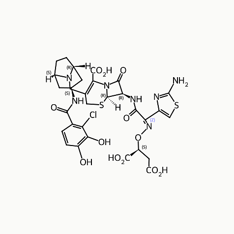 Nc1nc(/C(=N/O[C@@H](CC(=O)O)C(=O)O)C(=O)N[C@@H]2C(=O)N3C(C(=O)O)=C(CN4[C@@H]5CC[C@H]4C[C@H](NC(=O)c4ccc(O)c(O)c4Cl)C5)CS[C@H]23)cs1